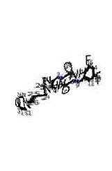 CC(C)c1c(/C=c2\[nH]c(=O)/c(=C/c3cc(F)cc(F)c3)[nH]c2=O)ncn1CCCN1CCOCC1